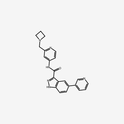 O=C(Nc1ccnc(CN2CCC2)c1)c1n[nH]c2ccc(-c3cccnc3)cc12